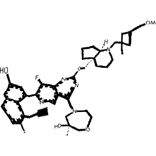 C#Cc1c(F)ccc2cc(O)cc(-c3ncc4c(N5CCOC[C@@](C)(O)C5)nc(OC[C@]56CCC[C@H]5N(CC5(C)CC(OC)C5)CCC6)nc4c3F)c12